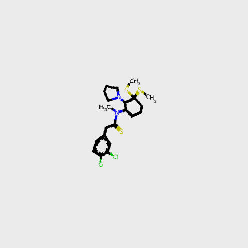 CSC1(SC)CCCC(N(C)C(=S)Cc2ccc(Cl)c(Cl)c2)C1N1CCCC1